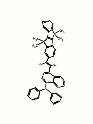 [2H]/C(=C(/[2H])c1ccc(N(c2ccccc2)c2ccccc2)c2ccccc12)c1ccc2c(c1)C(C)(C)C1=C2C(C)(C)c2ccccc21